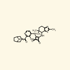 Cc1nc2c(s1)C(Nc1c(Nc3ccnc(C(=O)N4CC5CCC(C4)N5C)c3O)c(=O)c1=O)C(C)(C)CC2